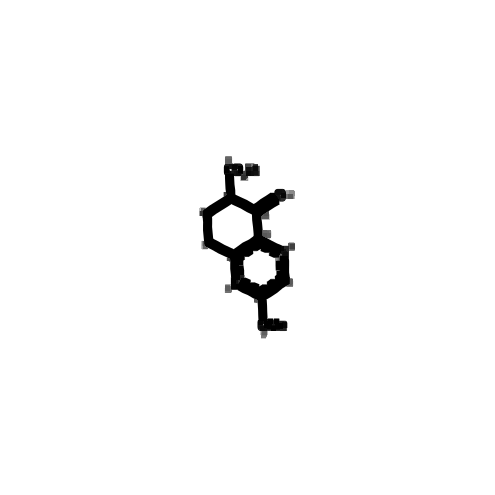 CCOC(=O)C1CCc2nc(OC)cnc2C1=O